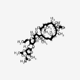 C/C=C/[C@H]1O[C@@](O)([C@@H](C)[C@H](O)[C@H](C)[C@H]2OC(=O)/C(OC)=C/C(C)=C/[C@@H](C)[C@@H](O)[C@@H](C)[C@@H](OC(C)=O)[C@H](C)C/C(C)=C/C=C/[C@@H]2OC)C[C@@H](O[C@@H]2C[C@H](OC(C)=O)[C@@H](OC(N)=O)[C@H](C)O2)[C@@H]1C